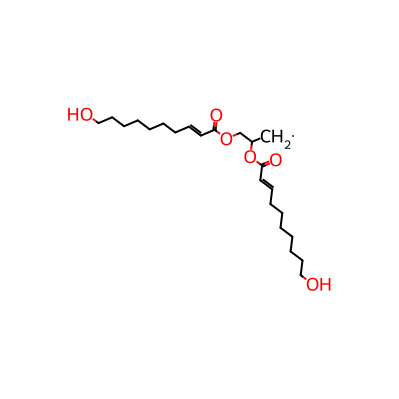 [CH2]C(COC(=O)/C=C/CCCCCCCO)OC(=O)/C=C/CCCCCCCO